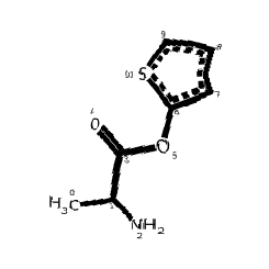 CC(N)C(=O)Oc1cccs1